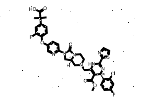 COC(=O)C1=C(CN2CCN3C(=O)N(c4ccc(Oc5ccc(C(C)(C)C(=O)O)cc5F)cn4)C[C@@H]3C2)NC(c2nccs2)=N[C@H]1c1ccc(F)cc1Cl